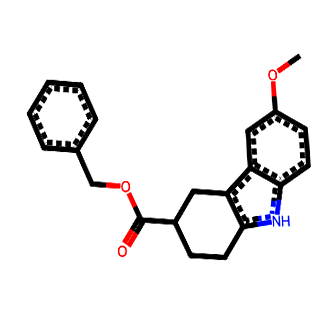 COc1ccc2[nH]c3c(c2c1)CC(C(=O)OCc1ccccc1)CC3